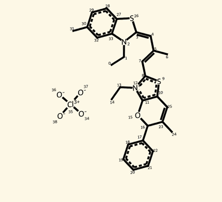 CCN1C(=CC(C)=Cc2sc3c([n+]2CC)OC(c2ccccc2)C(C)=C3)Sc2ccc(C)cc21.[O-][Cl+3]([O-])([O-])[O-]